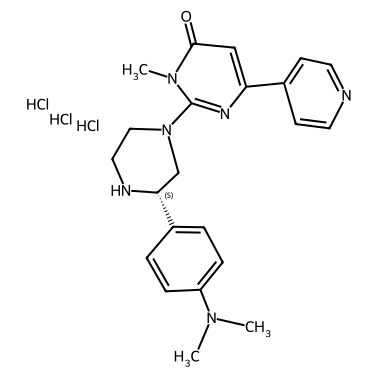 CN(C)c1ccc([C@H]2CN(c3nc(-c4ccncc4)cc(=O)n3C)CCN2)cc1.Cl.Cl.Cl